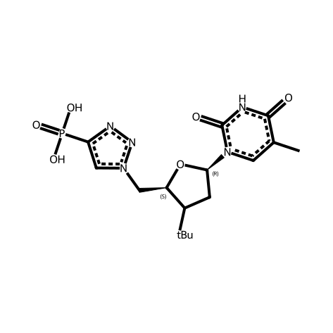 Cc1cn([C@H]2CC(C(C)(C)C)[C@@H](Cn3cc(P(=O)(O)O)nn3)O2)c(=O)[nH]c1=O